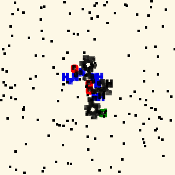 NC(=O)n1cc(NC(=O)N2C[C@H]3C[C@H]3[C@H]2C(=O)NCc2cccc(Cl)c2)c2ccccc21